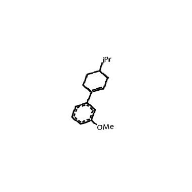 COc1cccc(C2=CCC(C(C)C)CC2)c1